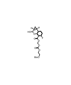 COCCOC(=O)OCOC(=O)c1c(F)ccc2c1OB(O)[C@@H]1C[C@H]21